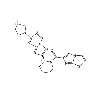 Cc1cn2nc([C@@H]3CCCCN3C(=O)c3cn4ccsc4n3)cc2nc1N1CC[C@H](C)C1